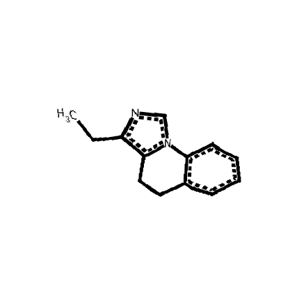 CCc1ncn2c1CCc1ccccc1-2